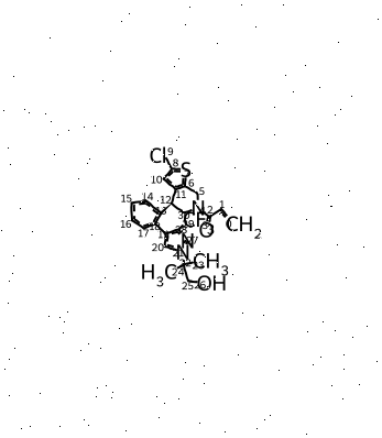 C=CC(=O)N1Cc2sc(Cl)cc2[C@H](c2ccccc2-c2cn(C(C)(C)CO)nc2C(F)(F)F)C1